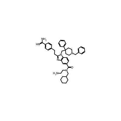 N=C(N)c1ccc(CCc2nc3cc(C(=O)N(CCN)CC4CCCCC4)ccc3n2CC2(c3ccccc3)CCN(Cc3ccccc3)CC2)cc1